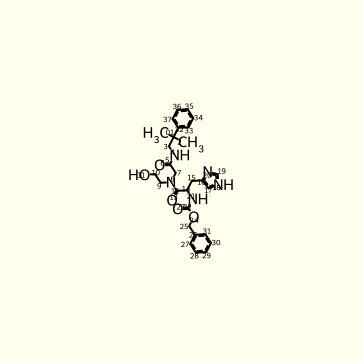 CC(C)(CNC(=O)CN(CCO)C(=O)C(Cc1c[nH]cn1)NC(=O)OCc1ccccc1)c1ccccc1